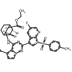 CCOC(=O)[C@@H]1C2CCC(CC2)[C@H]1Nc1nc(-c2cn(S(=O)(=O)c3ccc(C)cc3)c3ncc(F)cc23)nn2ccc(C3CC3)c12